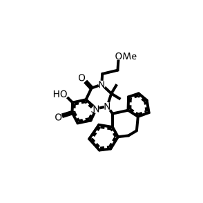 COCCN1C(=O)c2c(O)c(=O)ccn2N(C2c3ccccc3CCc3ccccc32)C1(C)C